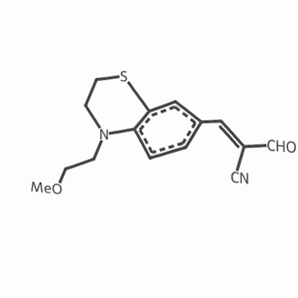 COCCN1CCSc2cc(/C=C(\C#N)C=O)ccc21